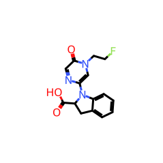 O=C(O)C1Cc2ccccc2N1c1cn(CCF)c(=O)cn1